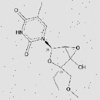 CC[C@]1(COC)O[C@@H](n2cc(I)c(=O)[nH]c2=O)C2OC21O